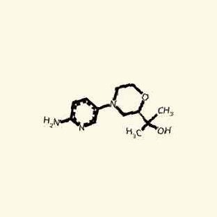 CC(C)(O)[C@H]1CN(c2ccc(N)nc2)CCO1